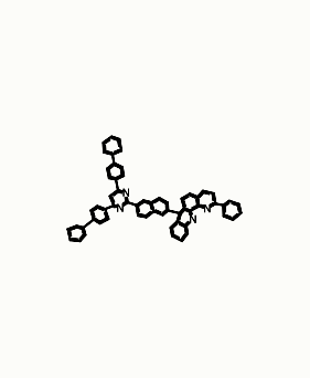 c1ccc(-c2ccc(-c3cc(-c4ccc(-c5ccccc5)cc4)nc(-c4ccc5cc(-c6c7ccccc7nc7c6ccc6ccc(-c8ccccc8)nc67)ccc5c4)n3)cc2)cc1